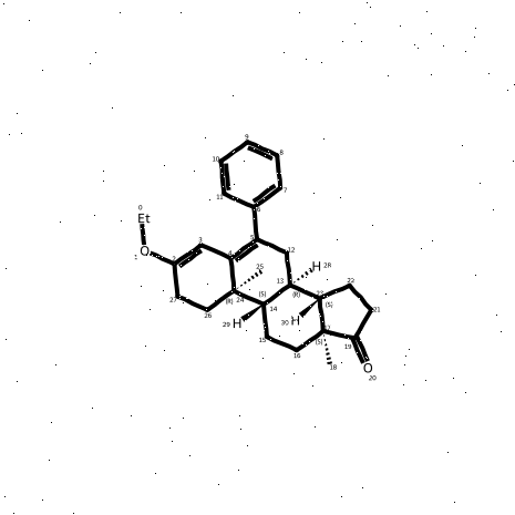 CCOC1=CC2=C(c3ccccc3)C[C@@H]3[C@H](CC[C@]4(C)C(=O)CC[C@@H]34)[C@@]2(C)CC1